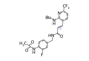 CCC(C)Nc1nc(C(F)(F)F)ccc1/C=C/C(=O)NCc1ccc(NS(C)(=O)=O)c(F)c1